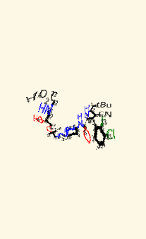 CC(C)(C)C[C@@H]1N[C@@H](C(=O)Nc2ccn(CC(C)(C)OC[C@@H](O)CNCC(=O)O)n2)[C@H](c2cccc(Cl)c2F)[C@H]1C#N